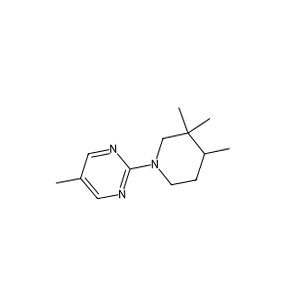 Cc1cnc(N2CCC(C)C(C)(C)C2)nc1